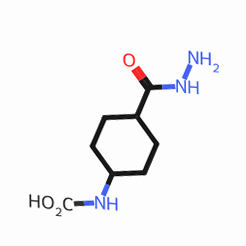 NNC(=O)C1CCC(NC(=O)O)CC1